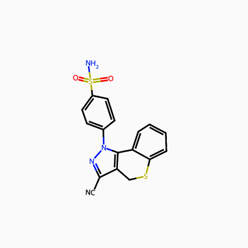 N#Cc1nn(-c2ccc(S(N)(=O)=O)cc2)c2c1CSc1ccccc1-2